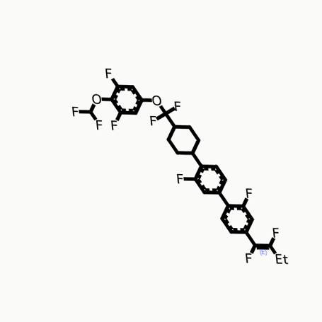 CC/C(F)=C(\F)c1ccc(-c2ccc(C3CCC(C(F)(F)Oc4cc(F)c(OC(F)F)c(F)c4)CC3)c(F)c2)c(F)c1